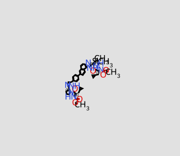 COC(=O)N[C@@H](CC1CC1)C(=O)N1CCC[C@H]1c1ncc(-c2ccc(-c3ccc4c(ccc5nc([C@@H]6C[Si](C)(C)CN6C(=O)[C@H](CC6CC6)NC(=O)OC)[nH]c54)c3)cc2)[nH]1